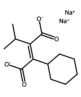 CC(C)C(C(=O)[O-])=C(C(=O)[O-])C1CCCCC1.[Na+].[Na+]